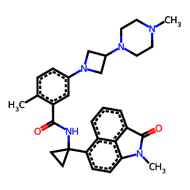 Cc1ccc(N2CC(N3CCN(C)CC3)C2)cc1C(=O)NC1(c2ccc3c4c(cccc24)C(=O)N3C)CC1